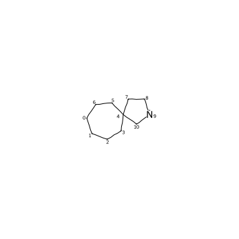 C1CCCC2(CC1)CC[N]C2